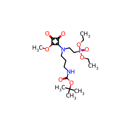 CCOP(=O)(CCN(CCCNC(=O)OC(C)(C)C)c1c(OC)c(=O)c1=O)OCC